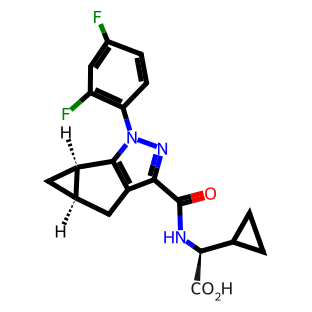 O=C(N[C@H](C(=O)O)C1CC1)c1nn(-c2ccc(F)cc2F)c2c1C[C@H]1C[C@@H]21